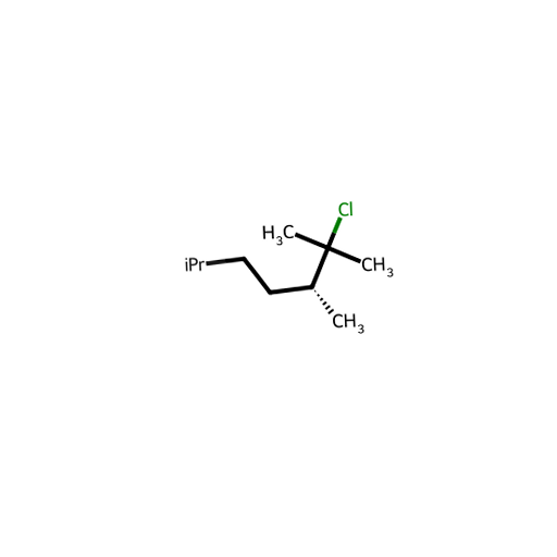 CC(C)CC[C@@H](C)C(C)(C)Cl